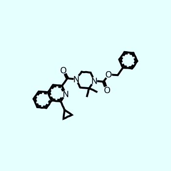 CC1(C)CN(C(=O)c2cc3ccccc3c(C3CC3)n2)CCN1C(=O)OCc1ccccc1